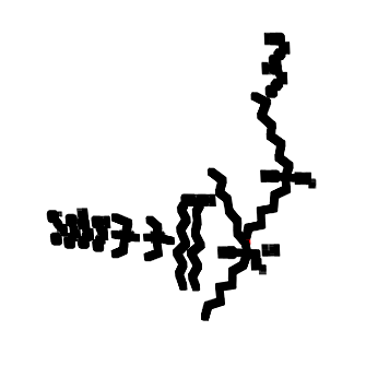 CCCCCCCCC(O)(P)CCCCCCC.CCCCCCCCC(O)(P)CCCCCCC.CCCCCCCCO.CCCCCCCCO.CC[N+](C)(C)CC.CC[N+](C)(C)CC.O=NO.O=NO.O=NO.O=NO.O=N[O-].O=N[O-].[LiH]